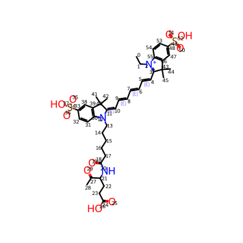 CC[N+]1=C(/C=C/C=C/C=C/C=C2/N(CCCCCC(=O)NC(CCC(=O)O)C(C)=O)c3ccc(S(=O)(=O)O)cc3C2(C)C)C(C)(C)c2cc(S(=O)(=O)O)ccc21